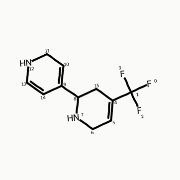 FC(F)(F)C1=CCNC(C2=CCNC=C2)C1